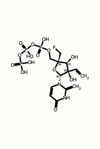 C=C[C@@]1(O)[C@H](O)[C@@](CF)(COP(=O)(O)OP(=O)(O)OP(=O)(O)O)O[C@H]1N1C=CC(=O)NC1=C